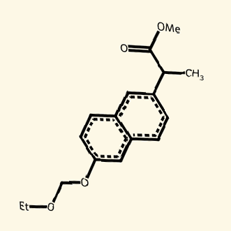 CCOCOc1ccc2cc(C(C)C(=O)OC)ccc2c1